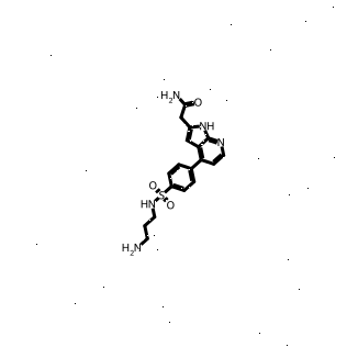 NCCCNS(=O)(=O)c1ccc(-c2ccnc3[nH]c(CC(N)=O)cc23)cc1